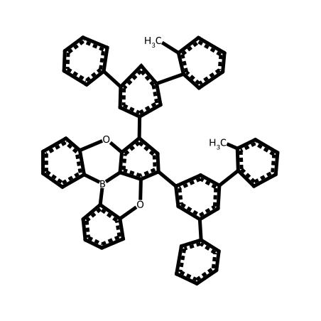 Cc1ccccc1-c1cc(-c2ccccc2)cc(-c2cc(-c3cc(-c4ccccc4)cc(-c4ccccc4C)c3)c3c4c2Oc2ccccc2B4c2ccccc2O3)c1